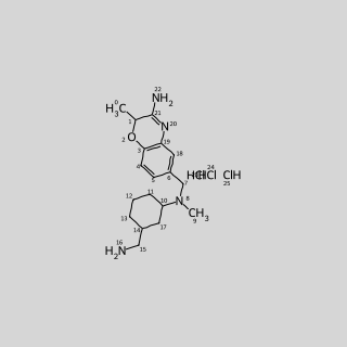 CC1Oc2ccc(CN(C)C3CCCC(CN)C3)cc2N=C1N.Cl.Cl.Cl